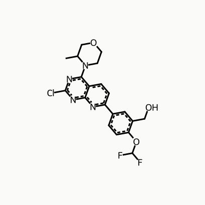 CC1COCCN1c1nc(Cl)nc2nc(-c3ccc(OC(F)F)c(CO)c3)ccc12